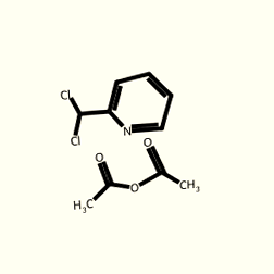 CC(=O)OC(C)=O.ClC(Cl)c1ccccn1